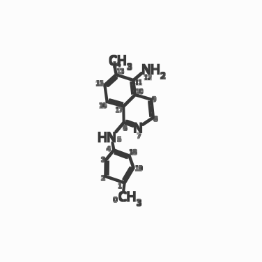 Cc1ccc(Nc2nccc3c(N)c(C)ccc23)cc1